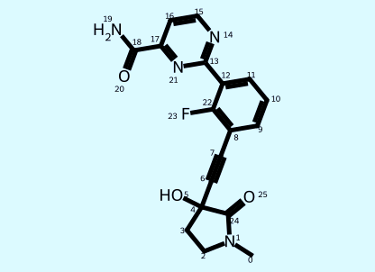 CN1CCC(O)(C#Cc2cccc(-c3nccc(C(N)=O)n3)c2F)C1=O